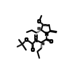 C=C1C=C(OC)[C@@H](CCC)N1C(=O)[C@H](CCC)NC(=O)OC(C)(C)C